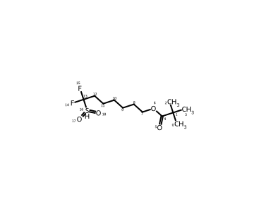 CC(C)(C)C(=O)OCCCCCCC(F)(F)[SH](=O)=O